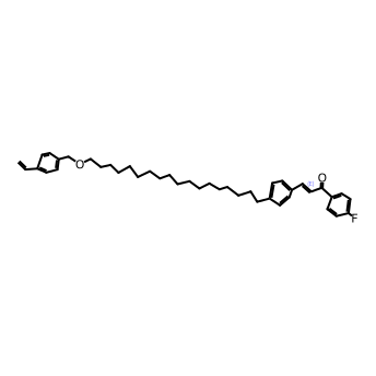 C=Cc1ccc(COCCCCCCCCCCCCCCCCCCc2ccc(/C=C/C(=O)c3ccc(F)cc3)cc2)cc1